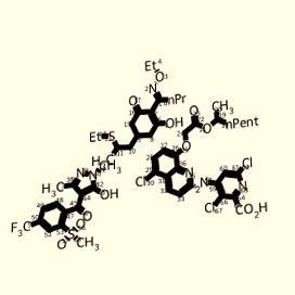 CCCC(=NOCC)C1=C(O)CC(CC(C)SCC)CC1=O.CCCCCC(C)OC(=O)COc1ccc(Cl)c2cccnc12.Cc1nn(C)c(O)c1C(=O)c1ccc(C(F)(F)F)cc1S(C)(=O)=O.Nc1cc(Cl)nc(C(=O)O)c1Cl